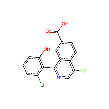 O=C(O)c1ccc2c(F)cnc(-c3c(O)cccc3Cl)c2c1